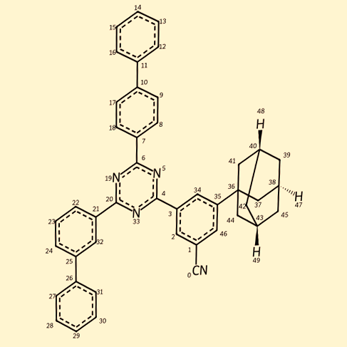 N#Cc1cc(-c2nc(-c3ccc(-c4ccccc4)cc3)nc(-c3cccc(-c4ccccc4)c3)n2)cc(C23C[C@H]4C[C@@H](C2)C[C@@H](C3)C4)c1